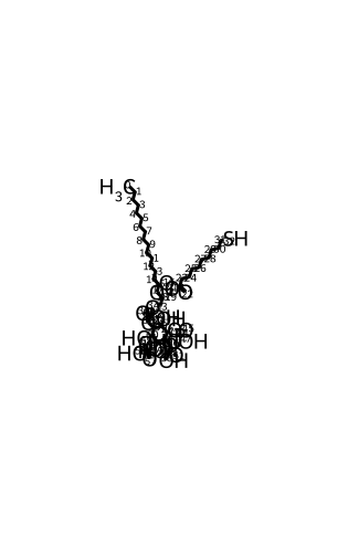 CCCCCCCCCCCCCCCC(=O)O[C@H](COC(=O)CCCCCCCCCS)COP(=O)(O)OC1C(O)[C@H](OP(=O)(O)O)C(OP(=O)(O)O)[C@H](OP(=O)(O)O)[C@@H]1O